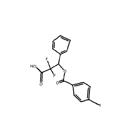 O=C(OC(c1ccccc1)C(F)(F)C(=O)O)c1ccc(I)cc1